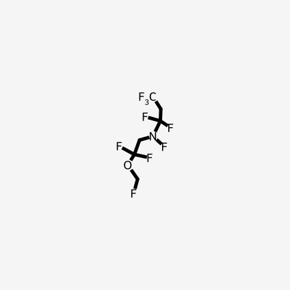 FCOC(F)(F)CN(F)C(F)(F)CC(F)(F)F